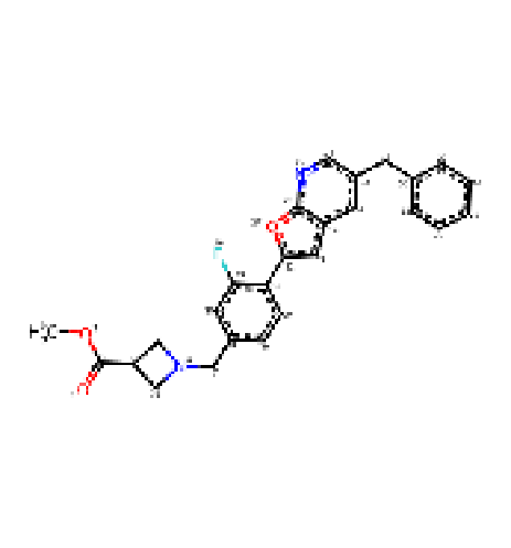 COC(=O)C1CN(Cc2ccc(-c3cc4cc(Cc5ccccc5)cnc4o3)c(F)c2)C1